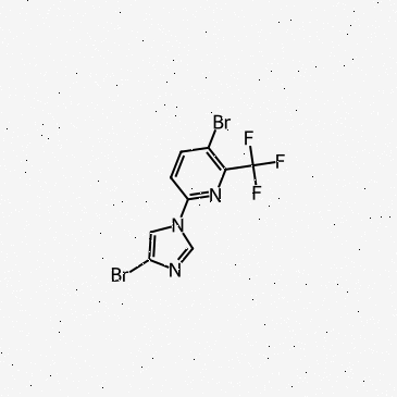 FC(F)(F)c1nc(-n2cnc(Br)c2)ccc1Br